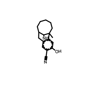 CC12CCCCCC(Cc3cc(C#N)c(O)cc31)C2N